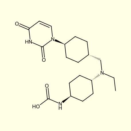 CCN(C[C@H]1CC[C@H](n2ccc(=O)[nH]c2=O)CC1)[C@H]1CC[C@H](NC(=O)O)CC1